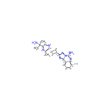 Cc1nc(C(C)(C)N)cnc1[C@H]1C[C@H](c2nc3c4cccc(F)c4nc(N)n3n2)C1